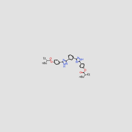 CCCCC(CC)C(=O)Oc1ccc(-c2nc(-c3cccc(-c4n[nH]c(-c5ccc(OC(=O)C(CC)CCCC)cc5)n4)c3)n[nH]2)cc1